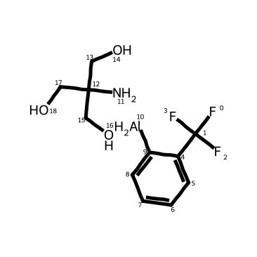 FC(F)(F)c1cccc[c]1[AlH2].NC(CO)(CO)CO